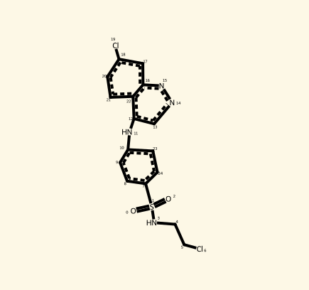 O=S(=O)(NCCCl)c1ccc(Nc2cnnc3cc(Cl)ccc23)cc1